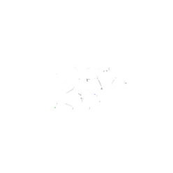 COc1cc2c(cc1Br)CCNC2C1(c2ccc(Cl)cc2)CCC1